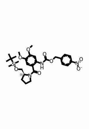 COc1cc(NC(=O)OCc2ccc([N+](=O)[O-])cc2)c(C(=O)N2CCC[C@H]2CO[Si](C)(C)C(C)(C)C)cc1OC